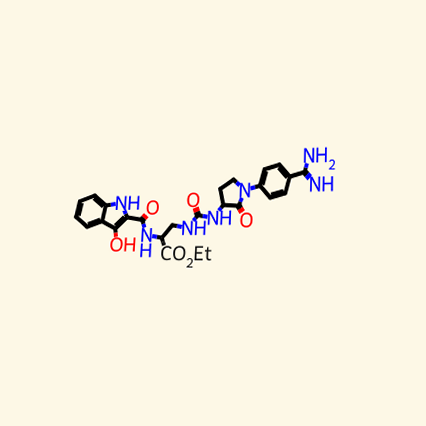 CCOC(=O)C(CNC(=O)NC1CCN(c2ccc(C(=N)N)cc2)C1=O)NC(=O)c1[nH]c2ccccc2c1O